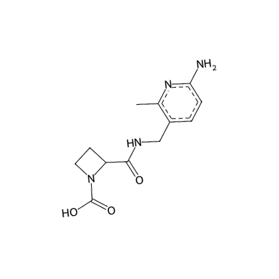 Cc1nc(N)ccc1CNC(=O)C1CCN1C(=O)O